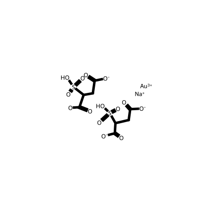 O=C([O-])CC(C(=O)[O-])S(=O)(=O)O.O=C([O-])CC(C(=O)[O-])S(=O)(=O)O.[Au+3].[Na+]